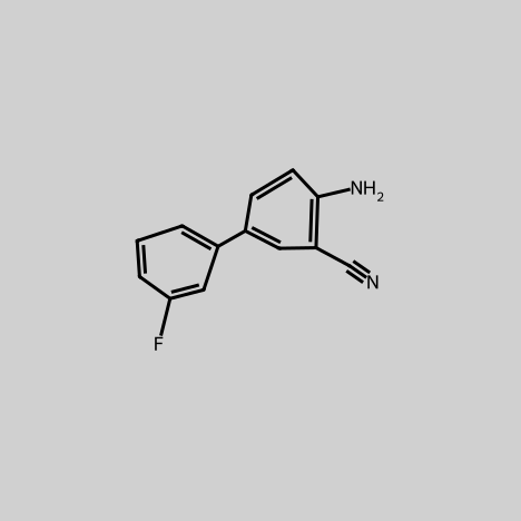 N#Cc1cc(-c2cccc(F)c2)ccc1N